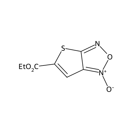 CCOC(=O)c1cc2c(no[n+]2[O-])s1